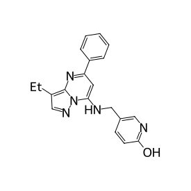 CCc1cnn2c(NCc3ccc(O)nc3)cc(-c3ccccc3)nc12